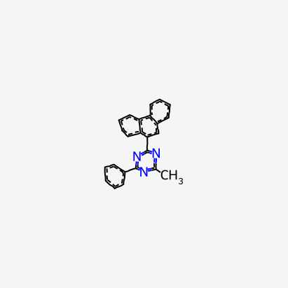 Cc1nc(-c2ccccc2)nc(-c2cc3ccccc3c3ccccc23)n1